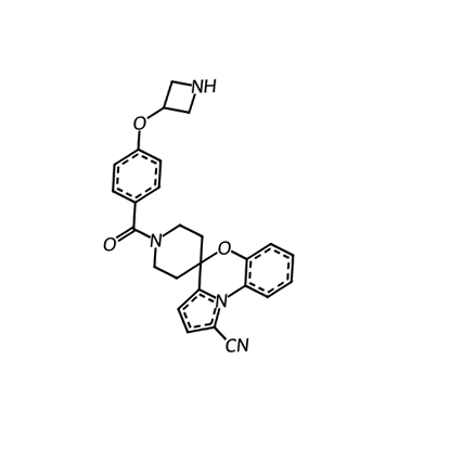 N#Cc1ccc2n1-c1ccccc1OC21CCN(C(=O)c2ccc(OC3CNC3)cc2)CC1